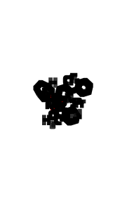 C=CC(=O)N1CC2CC[C@@H](C1)N2c1nc(=O)n(-c2c(C)ccnc2C(C)C)c2nc(-c3ccccc3F)c(Cl)cc12